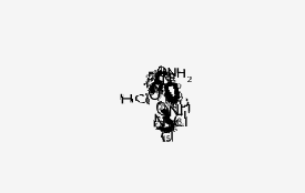 Cl.NC1=N[C@@]2(c3cc(NC(=O)c4ncc(Cl)cc4Cl)ccc3F)COC[C@@]2(F)CO1